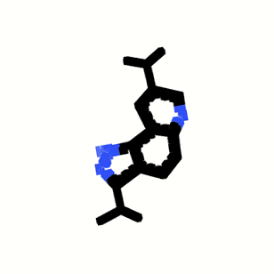 CC(C)c1cnc2ccc3c(C(C)C)n[nH]c3c2c1